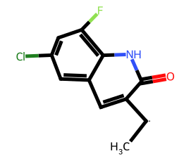 C[CH]c1cc2cc(Cl)cc(F)c2[nH]c1=O